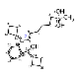 C[Si](O)(O)CCCC/C=C/C(=C1CCC1)c1ccccc1C(O)=C1CCC1